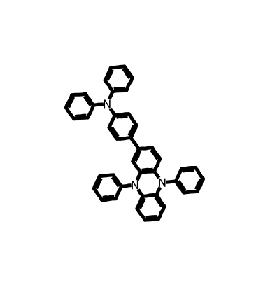 c1ccc(N(c2ccccc2)c2ccc(-c3ccc4c(c3)N(c3ccccc3)c3ccccc3N4c3ccccc3)cc2)cc1